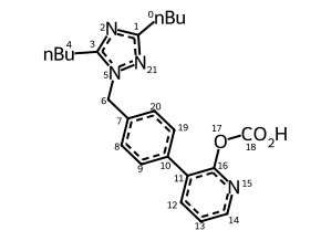 CCCCc1nc(CCCC)n(Cc2ccc(-c3cccnc3OC(=O)O)cc2)n1